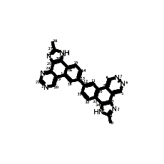 Cc1nc2c3cnncc3c3cc(-c4ccc5c(c4)c4cncnc4c4nc(C)[nH]c54)ccc3c2[nH]1